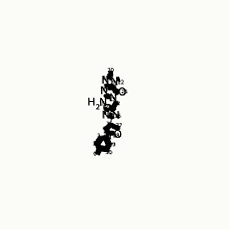 Cc1ccc([C@H]2C[C@H](c3noc(Cn4c(N)nc5nc(C)n(C)c5c4=O)n3)CO2)cc1